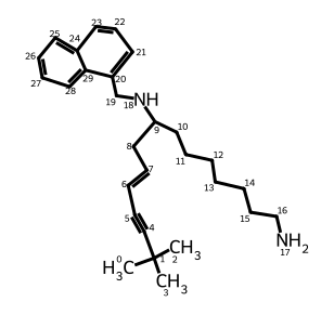 CC(C)(C)C#CC=CCC(CCCCCCCN)NCc1cccc2ccccc12